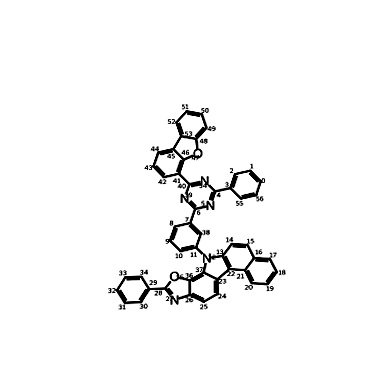 c1ccc(-c2nc(-c3cccc(-n4c5ccc6ccccc6c5c5ccc6nc(-c7ccccc7)oc6c54)c3)nc(-c3cccc4c3oc3ccccc34)n2)cc1